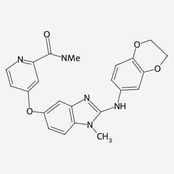 CNC(=O)c1cc(Oc2ccc3c(c2)nc(Nc2ccc4c(c2)OCCO4)n3C)ccn1